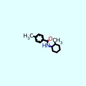 Cc1ccc(C(=O)NC2CCCCC2C)cc1